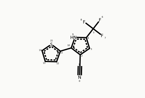 N#Cc1cc(C(F)(F)F)[nH]c1-c1cccs1